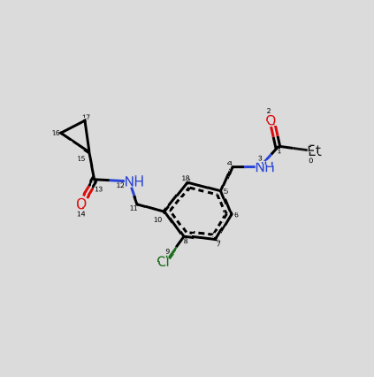 CCC(=O)NCc1ccc(Cl)c(CNC(=O)C2CC2)c1